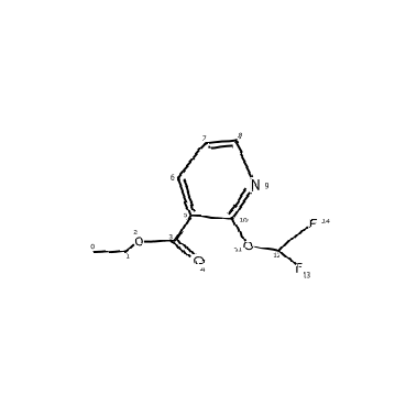 CCOC(=O)c1cccnc1OC(F)F